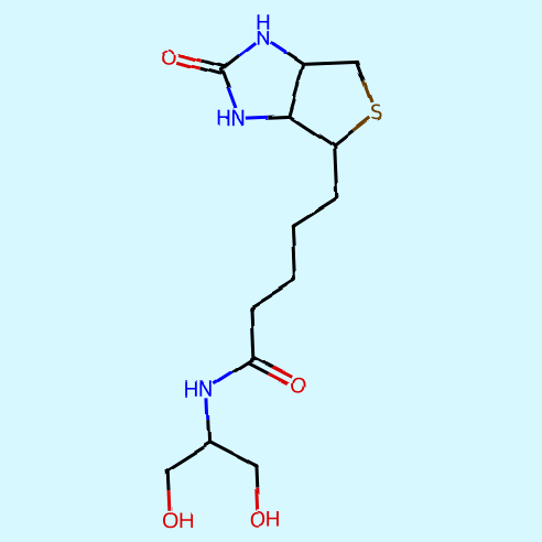 O=C(CCCCC1SCC2NC(=O)NC21)NC(CO)CO